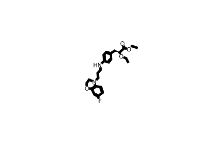 CCOC(=O)[C@H](Cc1ccc(NCCCN2CCOc3cc(F)ccc32)cc1)OCC